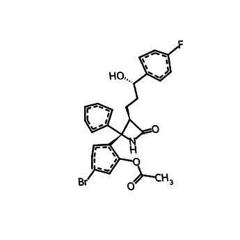 CC(=O)Oc1cc(Br)ccc1[C@]1(c2ccccc2)NC(=O)[C@@H]1CC[C@H](O)c1ccc(F)cc1